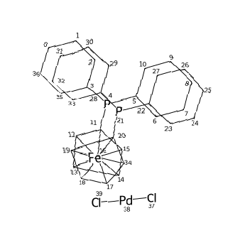 C1CCC(P(C2CCCCC2)[C]23[CH]4[CH]5[CH]6[CH]2[Fe]56432789[CH]3[CH]2[CH]7[C]8(P(C2CCCCC2)C2CCCCC2)[CH]39)CC1.[Cl][Pd][Cl]